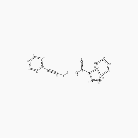 O=C(OCCC#Cc1ccccc1)c1n[nH]c2ccccc12